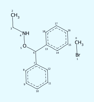 CBr.CCNOC(c1ccccc1)c1ccccc1